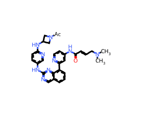 CC(=O)N1CC(Nc2ccc(Nc3ncc4cccc(-c5cc(NC(=O)/C=C/CN(C)C)ccn5)c4n3)cn2)C1